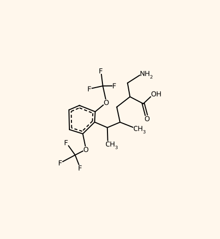 CC(CC(CN)C(=O)O)C(C)c1c(OC(F)(F)F)cccc1OC(F)(F)F